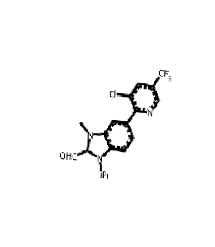 CC(C)N1c2ccc(-c3ncc(C(F)(F)F)cc3Cl)cc2N(C)C1C=O